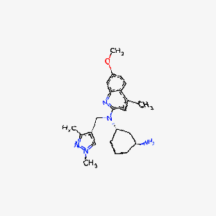 COc1ccc2c(C)cc(N(Cc3cn(C)nc3C)[C@H]3CCC[C@H](N)C3)nc2c1